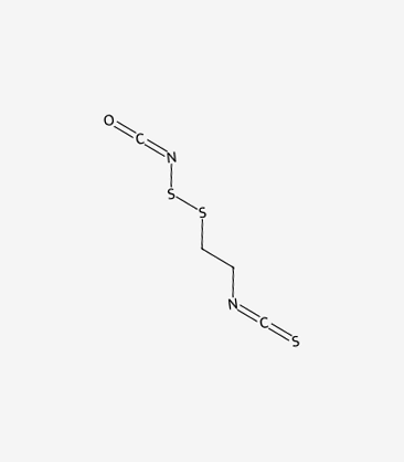 O=C=NSSCCN=C=S